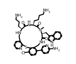 CN1C(=O)[C@H](CCCCN)NC(=O)[C@H](CCCN)NCc2cccnc2Sc2c(Cl)ccc(-c3ccc(N)nc3)c2CNC(=O)[C@@H]1Cc1c[nH]c2ccccc12